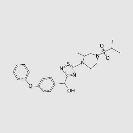 CC1CN(S(=O)(=O)C(C)C)CCN1c1nc(C(O)c2ccc(Oc3ccccc3)cc2)ns1